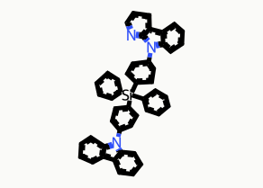 c1ccc([Si](c2ccccc2)(c2ccc(-n3c4ccccc4c4ccccc43)cc2)c2ccc(-n3c4ccccc4c4cccnc43)cc2)cc1